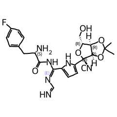 CC1(C)O[C@H]2[C@@H](O1)[C@](C#N)(c1ccc(/C(=N\C=N)NC(=O)[C@@H](N)Cc3ccc(F)cc3)[nH]1)O[C@@H]2CO